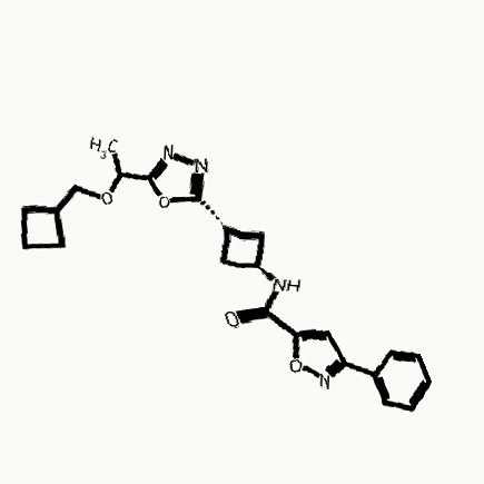 CC(OCC1CCC1)c1nnc([C@H]2C[C@H](NC(=O)c3cc(-c4ccccc4)no3)C2)o1